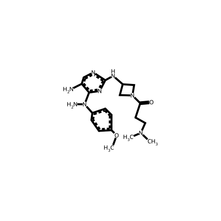 COc1ccc(N(N)c2nc(NC3CN(C(=O)CCN(C)C)C3)ncc2N)cc1